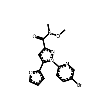 CON(C)C(=O)c1cc(-c2ccco2)n(-c2ccc(Br)cn2)n1